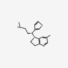 CNCC[C@@H](c1ccsc1)N1CCc2ncc(C)cc21